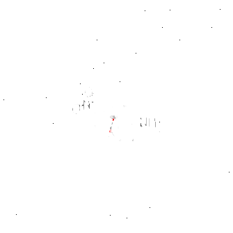 CC12CC3CC(N)(CC(C1)c1cc([N+](=O)[O-])ccc13)C2